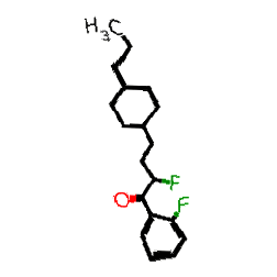 CCCC1CCC(CCC(F)C(=O)c2ccccc2F)CC1